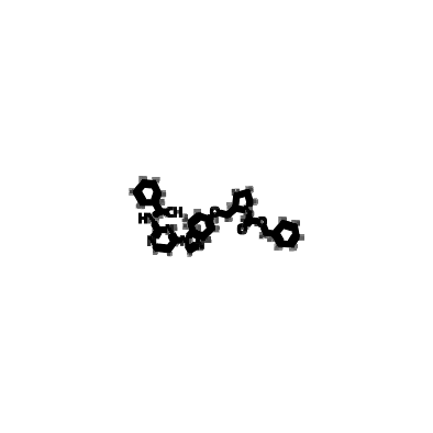 CC(Nc1nccc(-n2cnc3cc(OCC4CCCN4C(=O)OCc4ccccc4)ccc32)n1)c1ccccc1